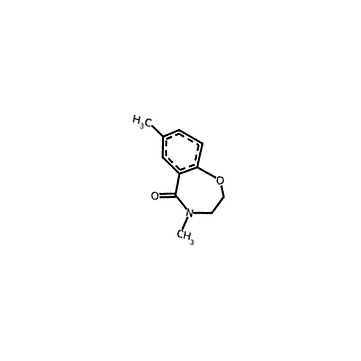 Cc1ccc2c(c1)C(=O)N(C)CCO2